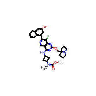 CN(C(=O)OC(C)(C)C)C1CC(Nc2nc(OCC34CCCN3CCC4)nc3c(F)c(-c4cc(O)cc5ccccc45)ncc23)C1